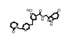 Cl.O=C(NCc1n[nH]c2ccc(Cl)cc12)c1cncc(Cc2ccc(Cn3ccccc3=O)nc2)c1